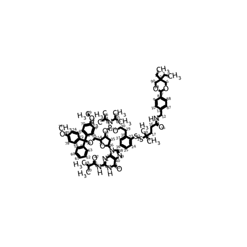 CCC1(CC)COC(c2ccc(CNC(=O)CCC(C)(C)SSc3ccccc3CCOP(OC3CC(n4cnc5c(=O)[nH]c(NC(=O)C(C)C)nc54)OC3COC(c3ccccc3)(c3ccc(OC)cc3)c3ccc(OC)cc3)N(C(C)C)C(C)C)cc2)OC1